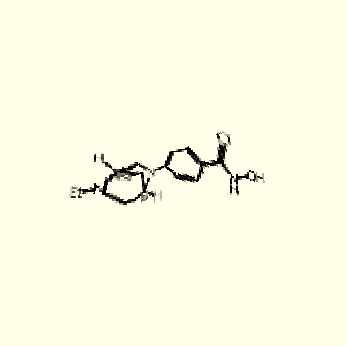 CCN1C[C@@H]2C[C@H]1CN2c1ccc(C(=O)NO)cc1